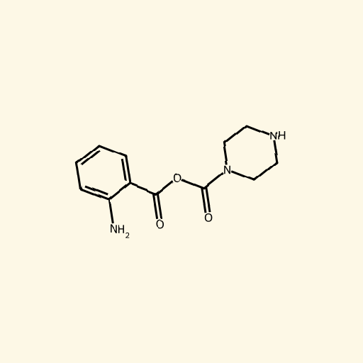 Nc1ccccc1C(=O)OC(=O)N1CCNCC1